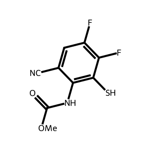 COC(=O)Nc1c(C#N)cc(F)c(F)c1S